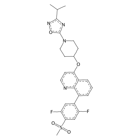 CC(C)c1noc(N2CCC(Oc3ccnc4c(-c5cc(F)c(S(C)(=O)=O)cc5F)cccc34)CC2)n1